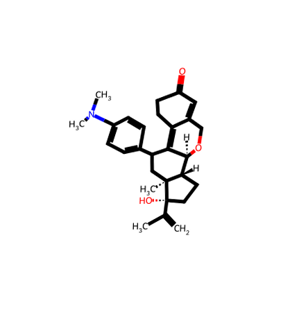 C=C(C)[C@]1(O)CC[C@H]2[C@@H]3OCC4=CC(=O)CCC4=C3C(c3ccc(N(C)C)cc3)C[C@@]21C